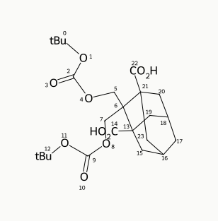 CC(C)(C)OC(=O)OCC1(COC(=O)OC(C)(C)C)C2(C(=O)O)CC3CC(C2)CC1(C(=O)O)C3